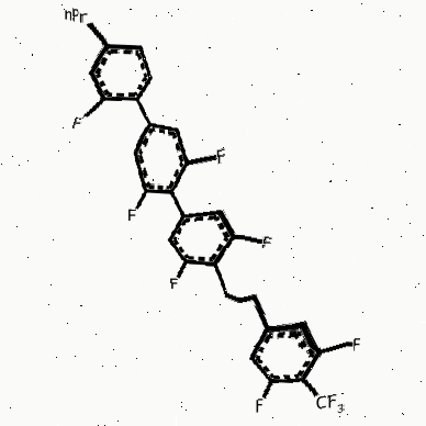 CCCc1ccc(-c2cc(F)c(-c3cc(F)c(CCc4cc(F)c(C(F)(F)F)c(F)c4)c(F)c3)c(F)c2)c(F)c1